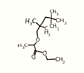 CCOC(=O)C(C)OCC(C)(C)CC(C)(C)C